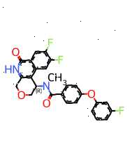 CN(C(=O)c1ccc(Oc2cccc(F)c2)cc1)[C@H]1COCc2[nH]c(=O)c3cc(F)c(F)cc3c21